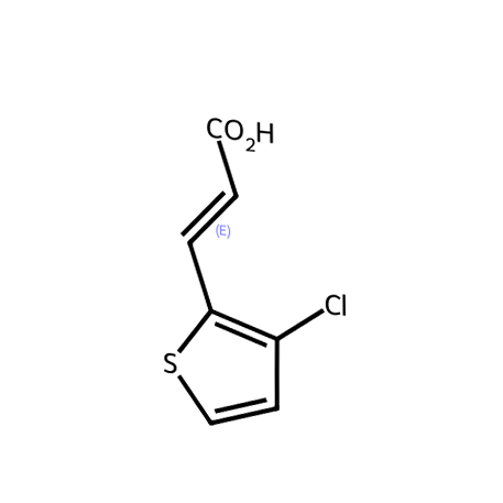 O=C(O)/C=C/c1sccc1Cl